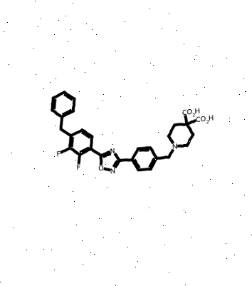 O=C(O)C1(C(=O)O)CCN(Cc2ccc(-c3noc(-c4ccc(Cc5ccccc5)c(F)c4F)n3)cc2)CC1